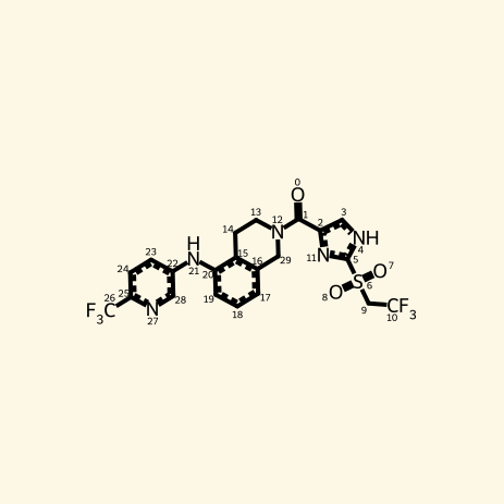 O=C(c1c[nH]c(S(=O)(=O)CC(F)(F)F)n1)N1CCc2c(cccc2Nc2ccc(C(F)(F)F)nc2)C1